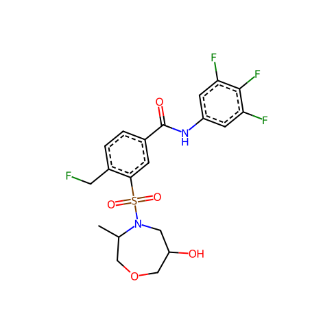 CC1COCC(O)CN1S(=O)(=O)c1cc(C(=O)Nc2cc(F)c(F)c(F)c2)ccc1CF